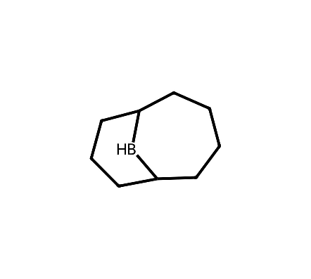 B1C2CCCCC1CCC2